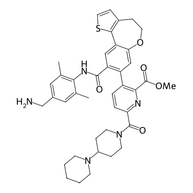 COC(=O)c1nc(C(=O)N2CCC(N3CCCCC3)CC2)ccc1-c1cc2c(cc1C(=O)Nc1c(C)cc(CN)cc1C)-c1sccc1CCO2